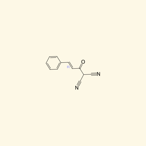 N#CC(C#N)C(=O)/C=C/c1ccccc1